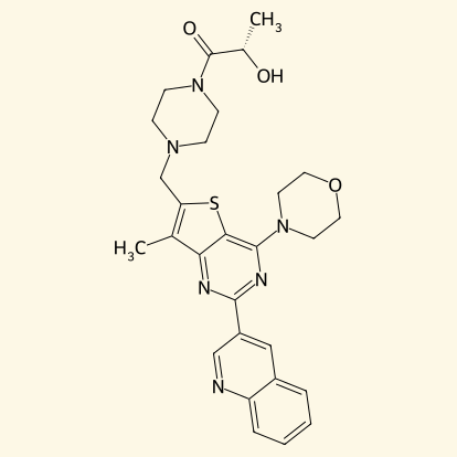 Cc1c(CN2CCN(C(=O)[C@H](C)O)CC2)sc2c(N3CCOCC3)nc(-c3cnc4ccccc4c3)nc12